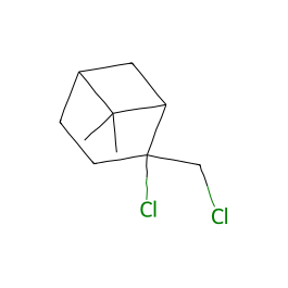 CC1(C)C2CCC(Cl)(CCl)C1C2